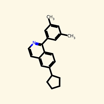 Cc1cc(C)cc(-c2nccc3cc(C4CCCC4)ccc23)c1